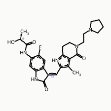 Cc1c(/C=C2/C(=O)Nc3cc(NC(=O)[C@H](C)O)c(F)cc32)[nH]c2c1C(=O)N(CCN1CCCC1)CC2